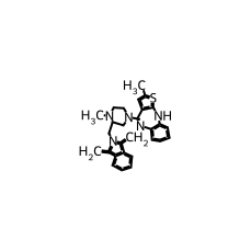 C=c1c2ccccc2c(=C)n1CC1CN(C2=Nc3ccccc3Nc3sc(C)cc32)CCN1C